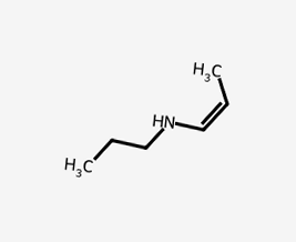 C/C=C\NCCC